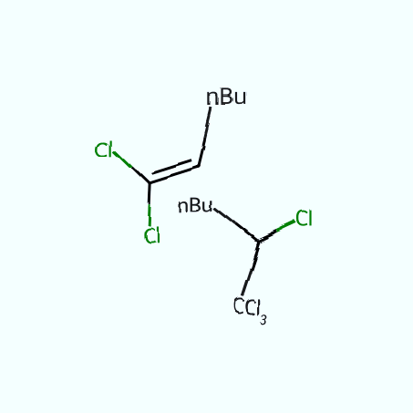 CCCCC(Cl)C(Cl)(Cl)Cl.CCCCC=C(Cl)Cl